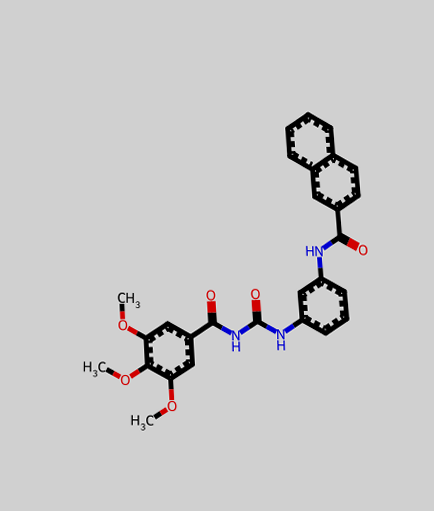 COc1cc(C(=O)NC(=O)Nc2cccc(NC(=O)c3ccc4ccccc4c3)c2)cc(OC)c1OC